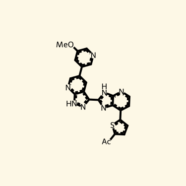 COc1cncc(-c2cnc3[nH]nc(-c4nc5c(-c6ccc(C(C)=O)s6)ccnc5[nH]4)c3c2)c1